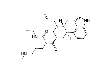 C=CCN1C[C@H](C(=O)N(CCCNC)C(=O)NCC)C[C@@H]2c3cccc4[nH]cc(c34)C[C@H]21